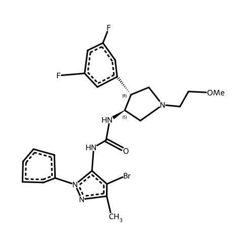 COCCN1C[C@@H](NC(=O)Nc2c(Br)c(C)nn2-c2ccccc2)[C@H](c2cc(F)cc(F)c2)C1